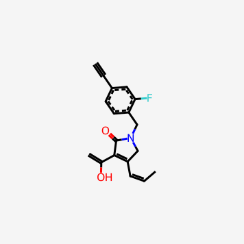 C#Cc1ccc(CN2CC(/C=C\C)=C(C(=C)O)C2=O)c(F)c1